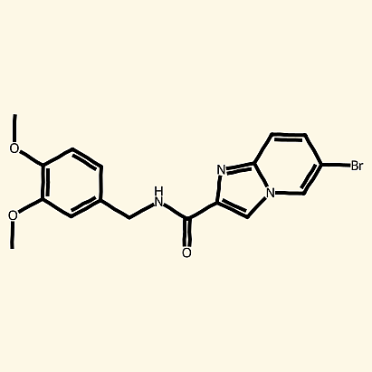 COc1ccc(CNC(=O)c2cn3cc(Br)ccc3n2)cc1OC